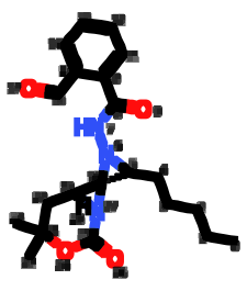 CCCCCC1N(NC(=O)c2ccccc2C=O)[C@@]12[C@@H]1CC(C)(C)OC(=O)N12